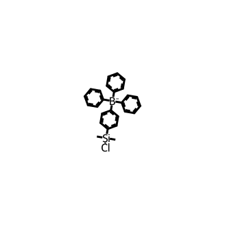 C[Si](C)(Cl)c1ccc([B-](c2ccccc2)(c2ccccc2)c2ccccc2)cc1